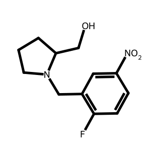 O=[N+]([O-])c1ccc(F)c(CN2CCCC2CO)c1